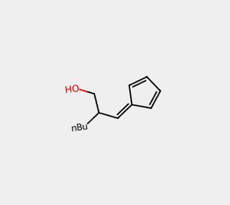 CCCCC(C=C1C=CC=C1)CO